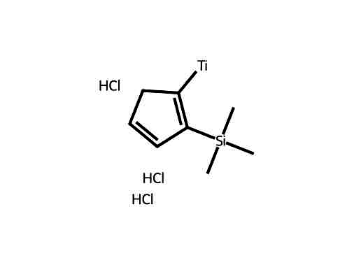 C[Si](C)(C)C1=[C]([Ti])CC=C1.Cl.Cl.Cl